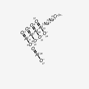 [Cr+3].[Na+].[Na+].[O]=[Al][O-].[O]=[Al][O-].[O]=[Al][O-].[O]=[Al][O-].[O]=[Al][O-]